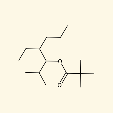 CCCC(CC)C(OC(=O)C(C)(C)C)C(C)C